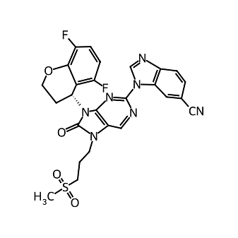 CS(=O)(=O)CCCn1c(=O)n([C@@H]2CCOc3c(F)ccc(F)c32)c2nc(-n3cnc4ccc(C#N)cc43)ncc21